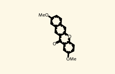 COc1ccc2cc3oc4ccc(OC)cc4c(=O)c3cc2c1